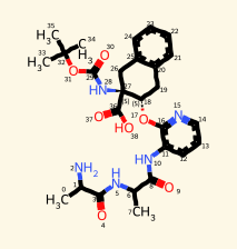 CC(N)C(=O)NC(C)C(=O)Nc1cccnc1O[C@H]1Cc2ccccc2C[C@@]1(NC(=O)OC(C)(C)C)C(=O)O